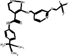 CC(C)(C)c1ccc(NC(=O)C2=C(NCc3ccnc(OCC(F)(F)F)c3)NNCC2)cc1